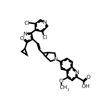 COc1cc(C(=O)O)nc2ccc(N3CC4C(C=Cc5c(-c6c(Cl)cncc6Cl)noc5C5CC5)C4C3)cc12